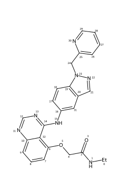 CCNC(=O)COc1cccc2ncnc(Nc3ccc4c(cnn4Cc4ccccn4)c3)c12